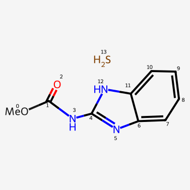 COC(=O)Nc1nc2ccccc2[nH]1.S